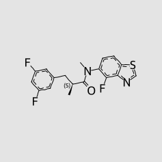 C[C@@H](Cc1cc(F)cc(F)c1)C(=O)N(C)c1ccc2scnc2c1F